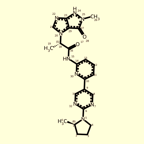 C[C@@H]1CCCN1c1ncc(-c2cccc(NC(=O)[C@H](C)n3cnc4[nH]n(C)c(=O)c43)n2)cn1